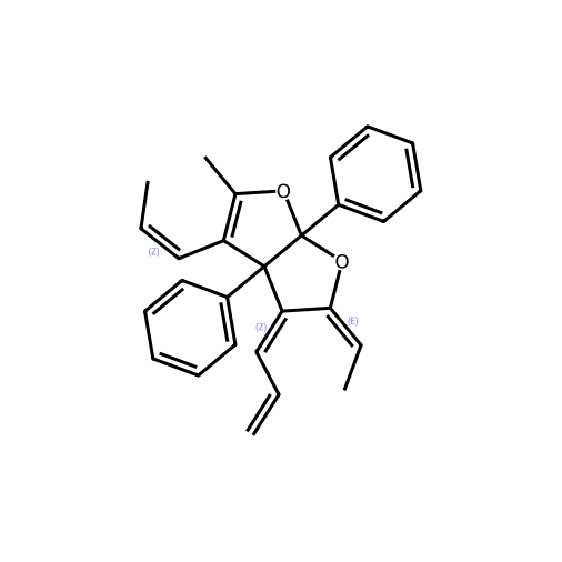 C=C/C=C1\C(=C/C)OC2(c3ccccc3)OC(C)=C(/C=C\C)C12c1ccccc1